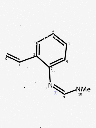 C=Cc1ccccc1/N=C\NC